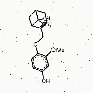 COc1cc(O)ccc1OCC1=CCC2CC1C2(C)C